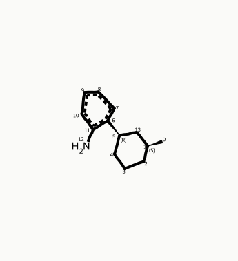 C[C@H]1CCC[C@@H](c2ccccc2N)C1